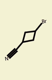 N#CC1CC(Br)C1